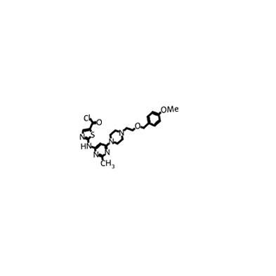 COc1ccc(COCCN2CCN(c3cc(Nc4ncc(C(=O)Cl)s4)nc(C)n3)CC2)cc1